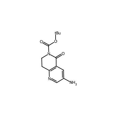 CC(C)(C)OC(=O)N1CCc2ncc(N)cc2C1=O